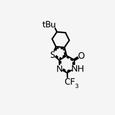 CC(C)(C)C1CCc2c(sc3nc(C(F)(F)F)[nH]c(=O)c23)C1